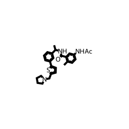 CC(=O)Nc1ccc(C)c(C(=O)NC(C)c2cccc(-c3ccc(CN4CCCC4)s3)c2)c1